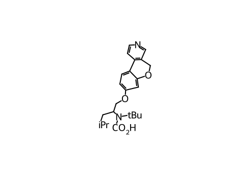 CC(C)CC(COc1ccc2c(c1)OCc1cnccc1-2)N(C(=O)O)C(C)(C)C